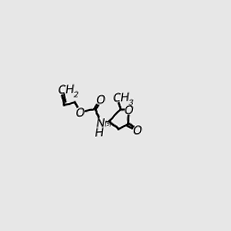 C=CCOC(=O)N[C@H]1CC(=O)OC1C